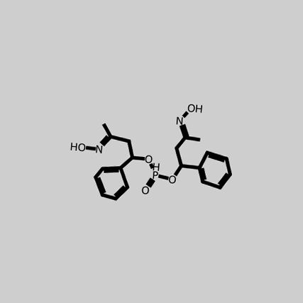 CC(CC(O[PH](=O)OC(CC(C)=NO)c1ccccc1)c1ccccc1)=NO